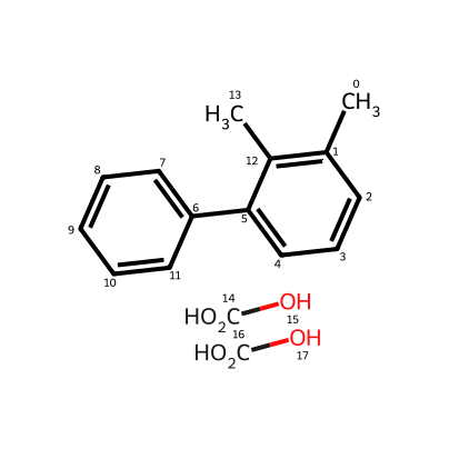 Cc1cccc(-c2ccccc2)c1C.O=C(O)O.O=C(O)O